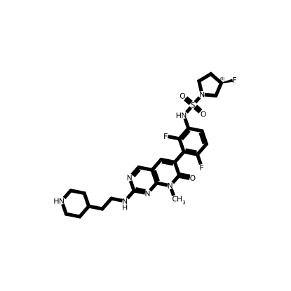 Cn1c(=O)c(-c2c(F)ccc(NS(=O)(=O)N3CC[C@@H](F)C3)c2F)cc2cnc(NCCC3CCNCC3)nc21